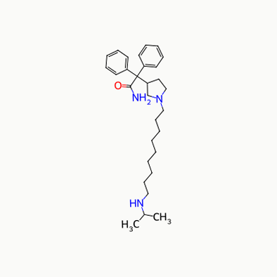 CC(C)NCCCCCCCCCN1CCC(C(C(N)=O)(c2ccccc2)c2ccccc2)C1